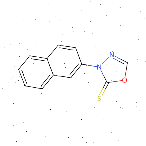 S=c1ocnn1-c1ccc2ccccc2c1